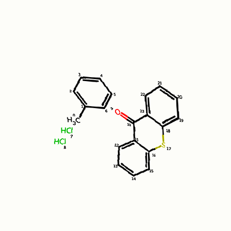 Cc1ccccc1.Cl.Cl.O=c1c2ccccc2sc2ccccc12